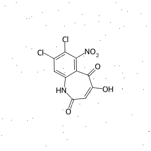 O=c1cc(O)c(=O)c2c([N+](=O)[O-])c(Cl)c(Cl)cc2[nH]1